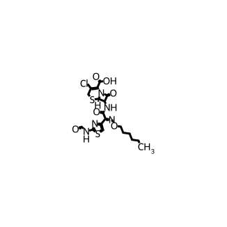 CCCCCCON=C(C(=O)NC1C(=O)N2C(C(=O)O)=C(Cl)CS[C@@H]12)c1csc(NC=O)n1